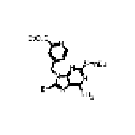 CCCCOc1nc(N)c2nc(Br)n(Cc3ccnc(C(=O)OCC)c3)c2n1